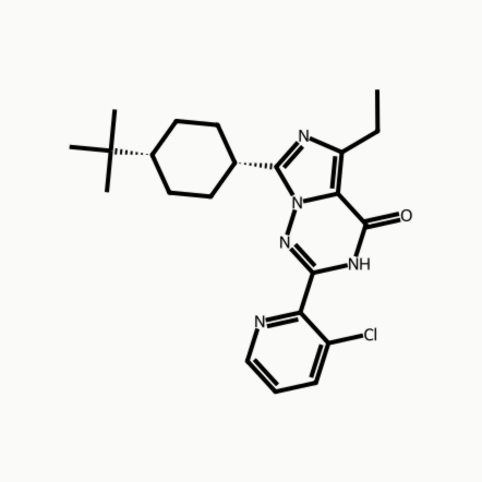 CCc1nc([C@H]2CC[C@@H](C(C)(C)C)CC2)n2nc(-c3ncccc3Cl)[nH]c(=O)c12